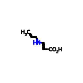 C=CCNC=CC(=O)O